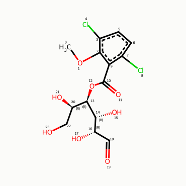 COc1c(Cl)ccc(Cl)c1C(=O)O[C@@H]([C@H](O)[C@@H](O)C=O)[C@H](O)CO